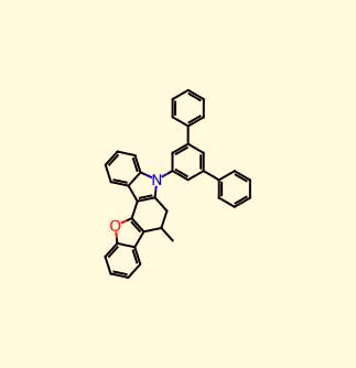 CC1Cc2c(c3ccccc3n2-c2cc(-c3ccccc3)cc(-c3ccccc3)c2)-c2oc3ccccc3c21